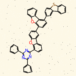 c1ccc(-c2nc(-c3ccccc3)nc(-c3cccc4c3oc3ccc(-c5ccc(-c6ccc7sc8ccccc8c7c6)c6c5oc5ccccc56)cc34)n2)cc1